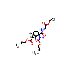 C=CCOC(=O)N[C@@]1(C(=O)NCC(=O)OCC)CC[C@H]2[C@H](C(=O)OCC=C)[C@H]21